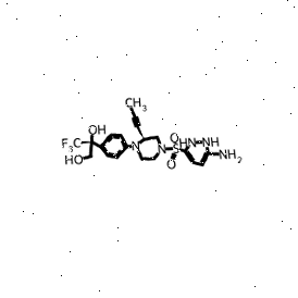 CC#C[C@H]1CN(S(=O)(=O)C2=CC=C(N)NN2)CCN1c1ccc([C@@](O)(CO)C(F)(F)F)cc1